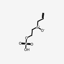 C=CC[S+]([O-])CCOS(=O)(=O)O